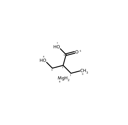 CCC(CO)C(=O)O.[MgH2]